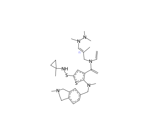 C=CN(C/C(C)=C/N(C)N(C)C)C(=C)c1cc(SNC2(C)CC2)sc1N(C)Cc1ccc2c(c1)CN(C)C2